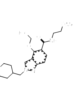 COCCNC(=O)c1ccc2nn(CC3CCNCC3)cc2c1OCC(F)(F)F